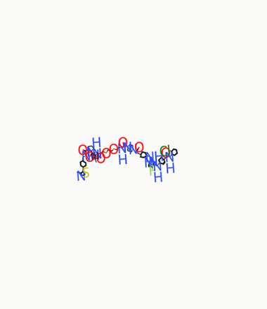 Cc1ncsc1-c1ccc(CNC(=O)C2CCCN2C(=O)[C@@H](NC(=O)COCCOCCNC(=O)N2CCN(C(=O)Cc3ccc(Nc4ncc(F)c(Nc5c#cc(C(=O)Nc6ccccc6Cl)cc5)n4)cc3)CC2)C(C)(C)C)cc1